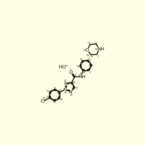 Cl.O=C(Nc1ccc([C@H]2CNCCO2)cc1)c1cnn(-c2ccc(Cl)cc2)n1